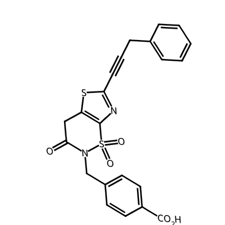 O=C(O)c1ccc(CN2C(=O)Cc3sc(C#CCc4ccccc4)nc3S2(=O)=O)cc1